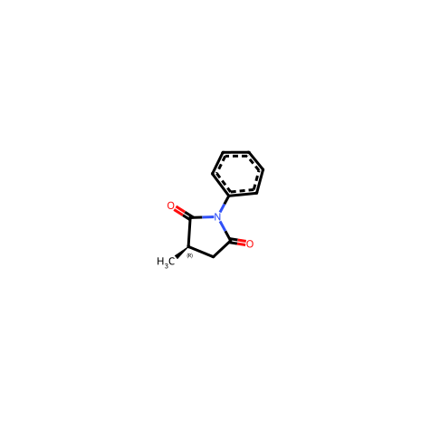 C[C@@H]1CC(=O)N(c2ccccc2)C1=O